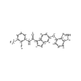 O=C(Nc1cccc(C(F)(F)F)c1F)n1ccc2cc(Oc3ncnc4c3CNC4)ccc21